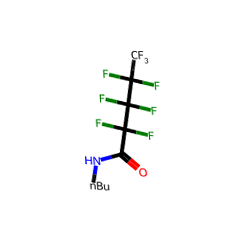 CCCCNC(=O)C(F)(F)C(F)(F)C(F)(F)C(F)(F)F